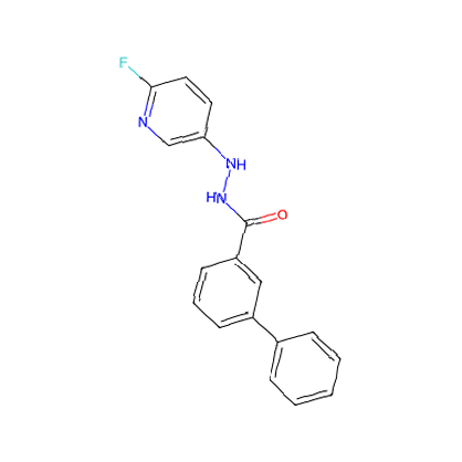 O=C(NNc1ccc(F)nc1)c1cccc(-c2ccccc2)c1